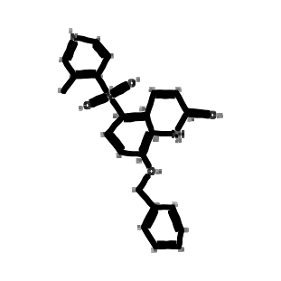 Cc1cnccc1S(=O)(=O)c1ccc(OCc2ccccc2)c2[nH]c(=O)ccc12